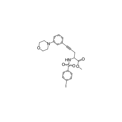 COC(=O)C(CC#Cc1cccc(N2CCOCC2)c1)NS(=O)(=O)c1ccc(I)cc1